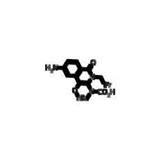 CCCCOc1c(N(C)C(=O)O)n(CC(C)C)c(=O)c2ccc(N)cc12